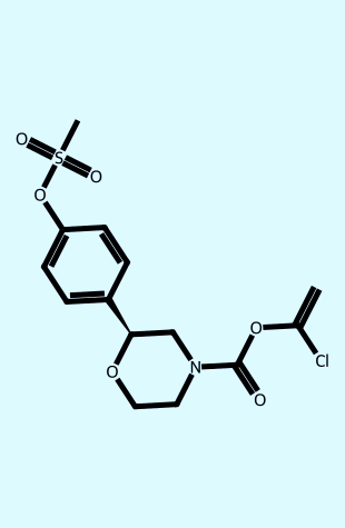 C=C(Cl)OC(=O)N1CCO[C@@H](c2ccc(OS(C)(=O)=O)cc2)C1